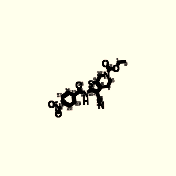 CCOC(=O)N1CCc2c(sc(NC(=O)c3ccc([N+](=O)[O-])cc3)c2C#N)C1